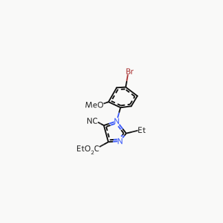 CCOC(=O)c1nc(CC)n(-c2ccc(Br)cc2OC)c1C#N